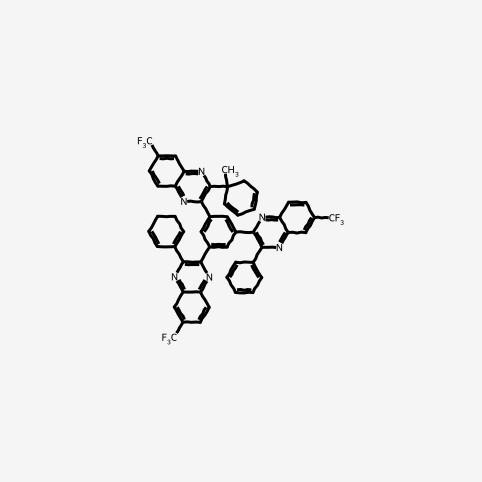 CC1(c2nc3cc(C(F)(F)F)ccc3nc2-c2cc(-c3nc4ccc(C(F)(F)F)cc4nc3C3=CCCC=C3)cc(-c3nc4ccc(C(F)(F)F)cc4nc3-c3ccccc3)c2)C=CC=CC1